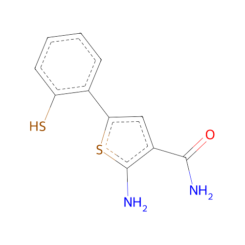 NC(=O)c1cc(-c2ccccc2S)sc1N